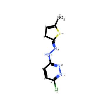 O=[N+]([O-])C1=CCC(=NNc2ccc(Cl)nn2)S1